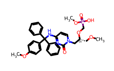 COC[C@H](Cn1ccc(NC(c2ccccc2)(c2ccccc2)c2ccc(OC)cc2)nc1=O)OCP(=O)(O)OC